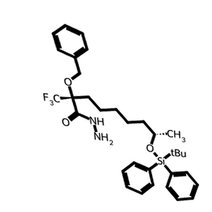 C[C@@H](CCCCC[C@@](OCc1ccccc1)(C(=O)NN)C(F)(F)F)O[Si](c1ccccc1)(c1ccccc1)C(C)(C)C